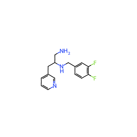 NCC(Cc1cccnc1)NCc1ccc(F)c(F)c1